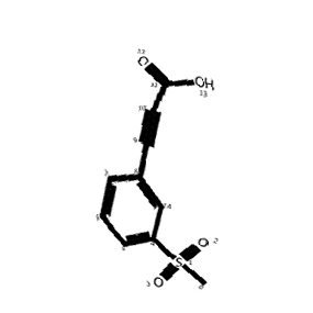 CS(=O)(=O)c1cccc(C#CC(=O)O)c1